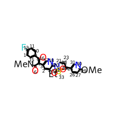 CCc1cc2c(C(=O)NC)c(-c3ccc(F)cc3)oc2nc1N(C[C@H](C)Cc1ccc(OC)nc1)S(C)(=O)=O